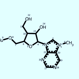 C[n+]1cn(C2OC(COC(C)(C)C)C(CO)C2O)c2ncncc21